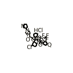 COc1ccc(S(=O)(=O)N2C(=O)C(OCC(=O)N3CCN(c4cccnc4)CC3)(c3ccccc3OC)c3cc(Cl)ccc32)c(OC(F)(F)F)c1.Cl